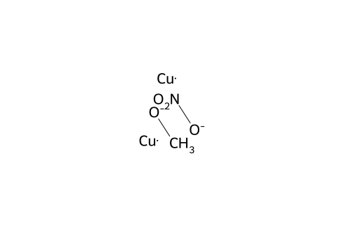 C[O-].O=[N+]([O-])[O-].[Cu].[Cu]